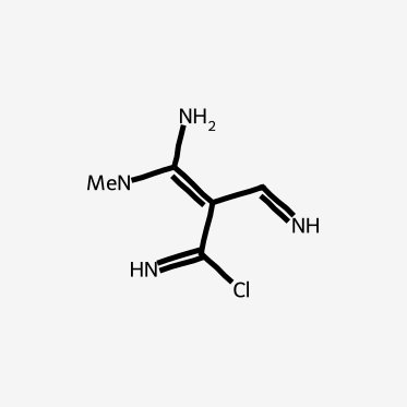 CN/C(N)=C(/C=N)C(=N)Cl